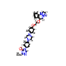 CCC(C)n1ncn(-c2ccc(N3CCN(c4ccc(OCCOC(Cn5nccn5)c5ccccc5)cc4)CC3)cc2)c1=O